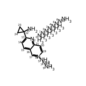 N.N.N.N.N.N.N.N.N.N.N.NC1(c2ccc3cnccc3n2)CC1